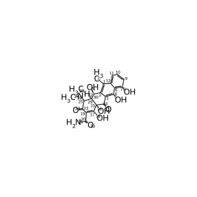 Cc1c2c(c(O)c3c(O)cccc13)C(=O)[C@]1(O)C(O)=C(C(N)=O)C(=O)[C@@H](N(C)C)[C@@H]1[C@H]2O